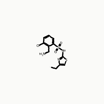 [CH2]Cc1csc(NS(=O)(=O)c2cccc(Cl)c2CN)n1